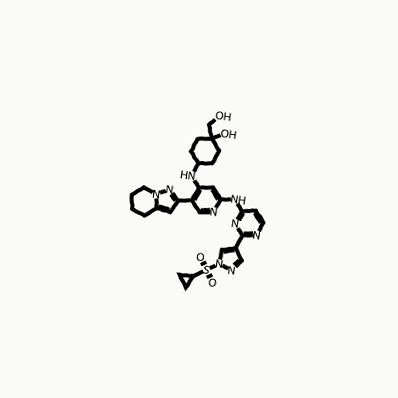 O=S(=O)(C1CC1)n1cc(-c2nccc(Nc3cc(NC4CCC(O)(CO)CC4)c(-c4cc5n(n4)CCCC5)cn3)n2)cn1